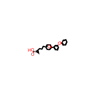 O=C(O)[C@H]1CC1CCCC12CCC(c3cccc(Oc4ccccc4)c3)(CC1)OC2